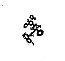 CCc1ccc2c(c1)C(NCCC(NC(=O)c1cc(N3CCCC3=O)c(=O)n(C3CCCC3)c1)[C@H](O)c1ccccc1)CC(C)(C)O2